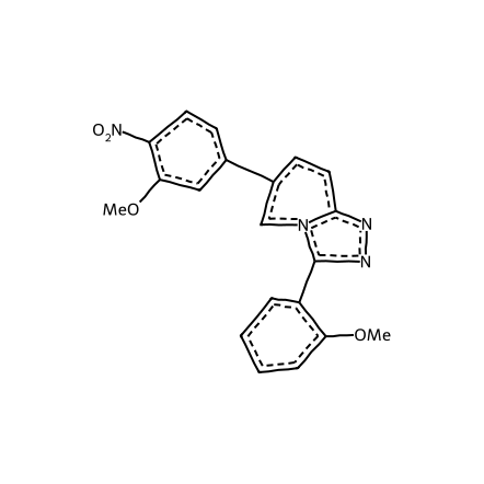 COc1ccccc1-c1nnc2ccc(-c3ccc([N+](=O)[O-])c(OC)c3)cn12